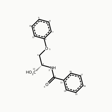 O=C(N[C@@H](COc1ccccc1)C(=O)O)c1ccccc1